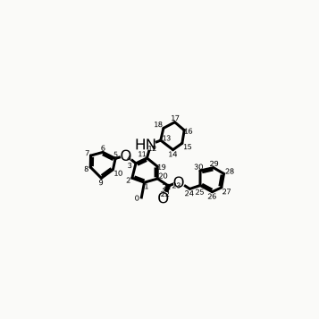 Cc1cc(Oc2ccccc2)c(NC2CCCCC2)cc1C(=O)OCc1ccccc1